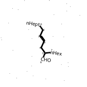 CCCCCCCCC=CCC(C=O)CCCCCC